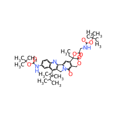 CCC1(OC(=O)CNC(=O)OC(C)(C)C)C(=O)OCc2c1cc1n(c2=O)Cc2c-1nc1ccc(NC(=O)OC(C)(C)C)cc1c2[Si](C)(C)C(C)C